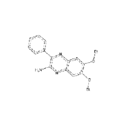 CCOc1cc2nc(N)c(-c3ccccc3)nc2cc1OCC